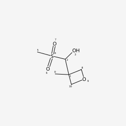 CC1(C(O)S(C)(=O)=O)COC1